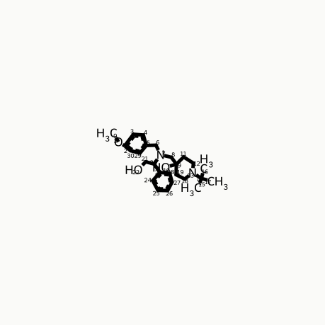 COc1ccc(CN(CC2(O)CCN(C(C)(C)C)CC2)C(CO)c2ccccc2)cc1